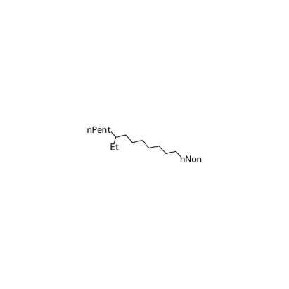 [CH2]CCCCC(CC)CCCCCCCCCCCCCCCC